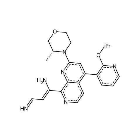 CC(C)Oc1ncccc1-c1cc(N2CCOC[C@H]2C)nc2c(/C(N)=C/C=N)nccc12